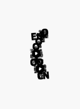 CCC1(COCOc2ccc(C(=O)Oc3ccc(C#N)cc3)cc2)COC1